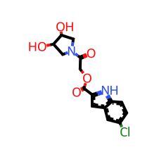 O=C(OCC(=O)N1CC(O)C(O)C1)c1cc2cc(Cl)ccc2[nH]1